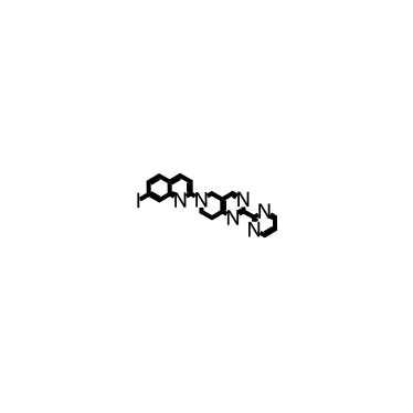 Ic1ccc2ccc(N3CCc4nc(-c5ncccn5)ncc4C3)nc2c1